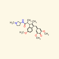 COC1=CC(=CC2=C(C)C(C(C)C(=O)NC3CCN(C)C3)c3cc(OC)ccc32)C=C(OC)C1=O